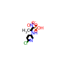 CC(Nc1ccc(Cl)nc1)=C([N+](=O)[O-])S(=O)(=O)O